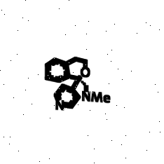 CNC[C@@]1(c2ccncc2)OCCc2ccccc21